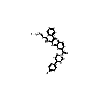 O=C(O)CCCNc1nc2cc(C(=O)N3CCC(c4ccc(F)cc4)CC3)ccc2nc1-c1ccccc1